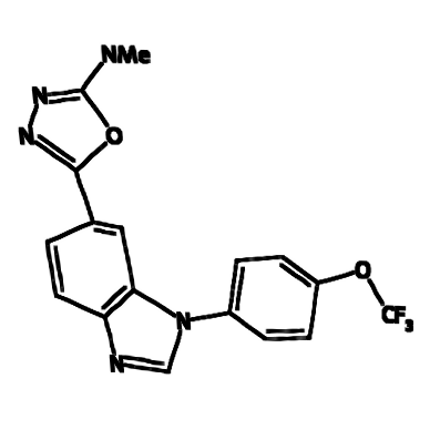 CNc1nnc(-c2ccc3ncn(-c4ccc(OC(F)(F)F)cc4)c3c2)o1